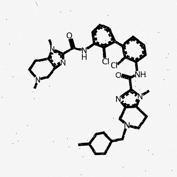 CC1CCC(CN2CCc3c(nc(C(=O)Nc4cccc(-c5cccc(NC(=O)c6nc7c(n6C)CCN(C)C7)c5Cl)c4Cl)n3C)C2)CC1